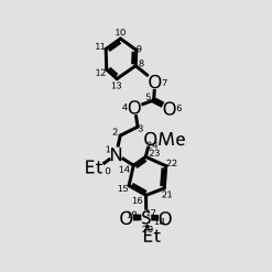 CCN(CCOC(=O)Oc1ccccc1)c1cc(S(=O)(=O)CC)ccc1OC